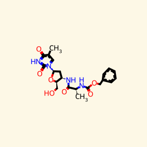 Cc1cn([C@H]2C[C@H](NC(=O)[C@@H](C)NC(=O)OCc3ccccc3)[C@@H](CO)O2)c(=O)[nH]c1=O